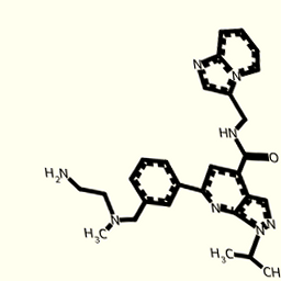 CC(C)n1ncc2c(C(=O)NCc3cnc4ccccn34)cc(-c3cccc(CN(C)CCN)c3)nc21